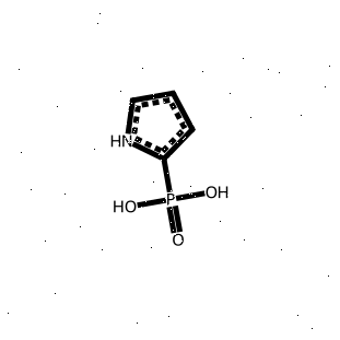 O=P(O)(O)c1ccc[nH]1